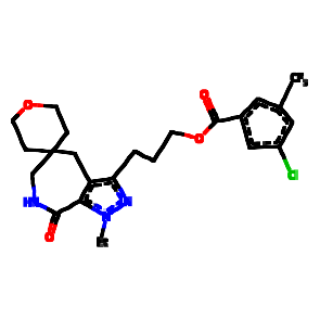 CCn1nc(CCCOC(=O)c2cc(Cl)cc(C(F)(F)F)c2)c2c1C(=O)NCC1(CCOCC1)C2